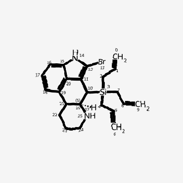 C=CC[Si](CC=C)(CC=C)C1c2c(Br)[nH]c3cccc(c23)C2CCCN[C@@H]21